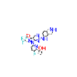 O=c1c2cnc(Nc3ccc4c(c3)CCNC4)nc2n(-c2ccc(F)c(C3(O)CCC3)n2)n1CC(F)(F)F